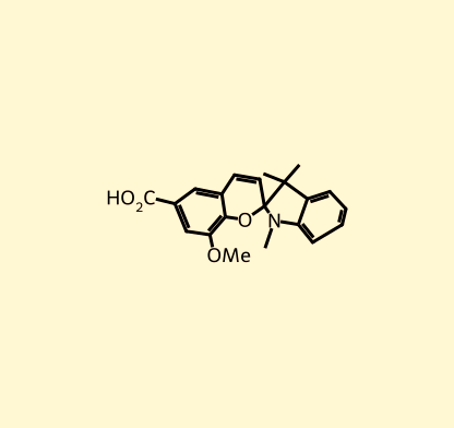 COc1cc(C(=O)O)cc2c1OC1(C=C2)N(C)c2ccccc2C1(C)C